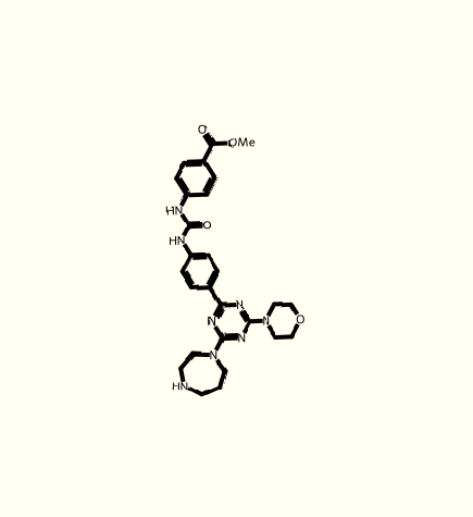 COC(=O)c1ccc(NC(=O)Nc2ccc(-c3nc(N4CCCNCC4)nc(N4CCOCC4)n3)cc2)cc1